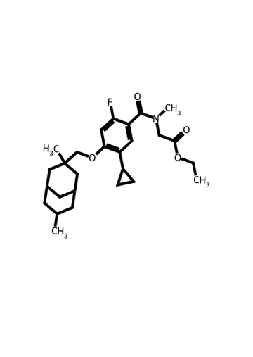 CCOC(=O)CN(C)C(=O)c1cc(C2CC2)c(OCC2(C)CC3CC(C)CC(C3)C2)cc1F